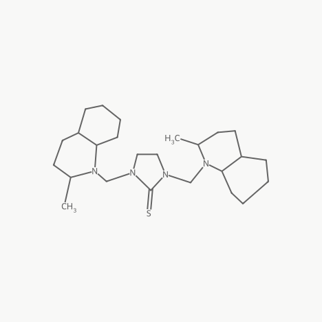 CC1CCC2CCCCC2N1CN1CCN(CN2C(C)CCC3CCCCC32)C1=S